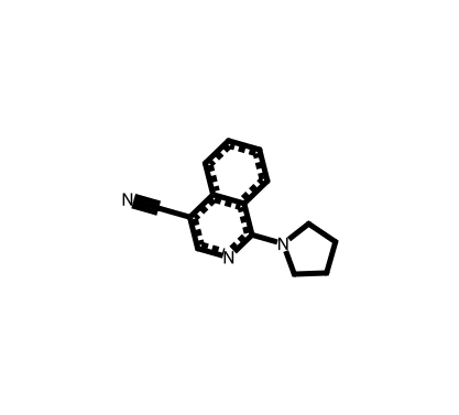 N#Cc1cnc(N2CCCC2)c2ccccc12